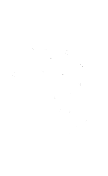 COc1nc(NCCc2c(F)cccc2Cl)cc(-c2cccc(CN)c2)n1